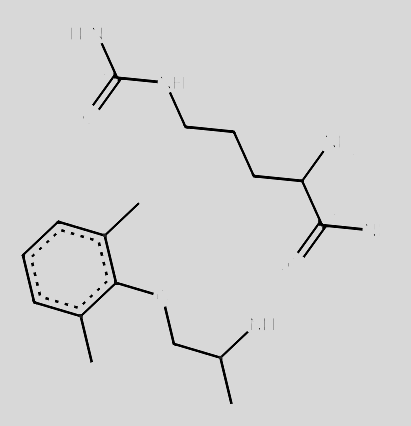 Cc1cccc(C)c1OCC(C)N.NC(=O)NCCCC(N)C(N)=O